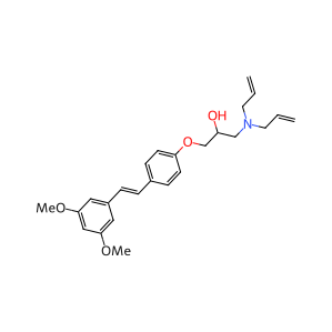 C=CCN(CC=C)CC(O)COc1ccc(/C=C/c2cc(OC)cc(OC)c2)cc1